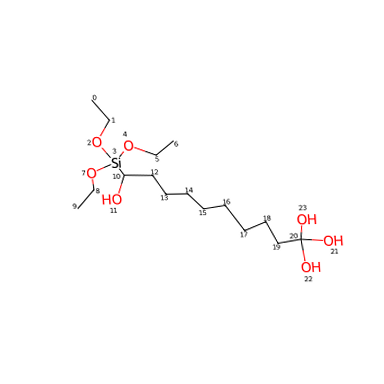 CCO[Si](OCC)(OCC)C(O)CCCCCCCCC(O)(O)O